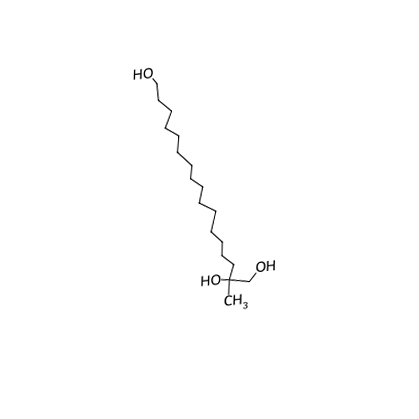 CC(O)(CO)CCCCCCCCCCCCCCCO